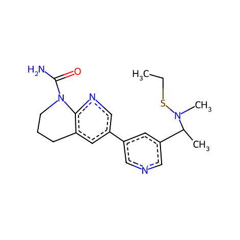 CCSN(C)C(C)c1cncc(-c2cnc3c(c2)CCCN3C(N)=O)c1